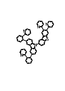 c1ccc(-c2ccccc2-c2ccc3c(c2)c2cc(-c4ccccc4-c4ccccn4)ccc2n3-c2ccc3sc4cc(-c5ccccn5)c(-c5ccccn5)cc4c3c2)nc1